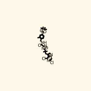 Cc1cc(B2OC(C)(C)C(C)(C)O2)ccc1CNC(=O)c1noc(C(C)(C)Cc2cnn3cc(Cl)nc(Cl)c23)n1